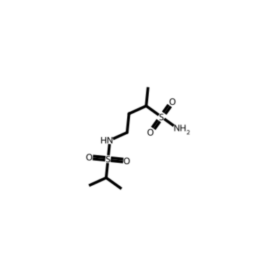 CC(CCNS(=O)(=O)C(C)C)S(N)(=O)=O